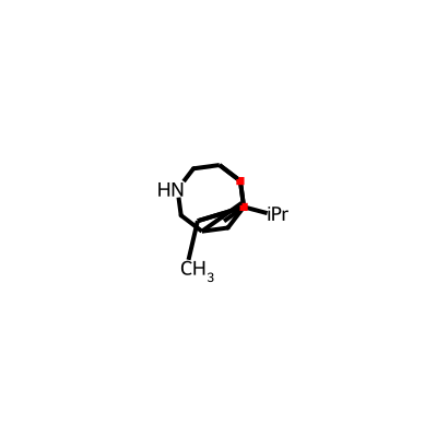 CC(C)C12CC3C=C(CC(CNC3)C1)C2C